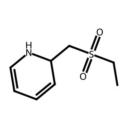 CCS(=O)(=O)CC1C=CC=CN1